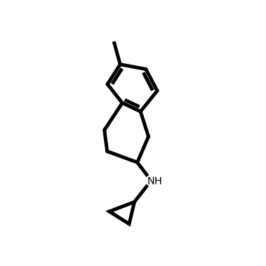 Cc1ccc2c(c1)CCC(NC1CC1)C2